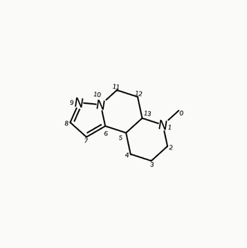 CN1CCCC2c3ccnn3CCC21